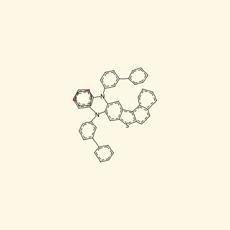 c1ccc(-c2cccc(N(c3ccccc3)c3cc4sc5ccc6ccccc6c5c4cc3N(c3ccccc3)c3cccc(-c4ccccc4)c3)c2)cc1